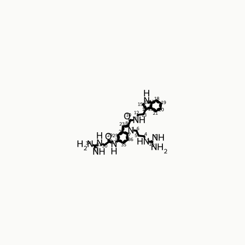 N=C(N)NCCCn1c(C(=O)NCCc2c[nH]c3ccccc23)cc2cc(NC(=O)CNC(=N)N)ccc21